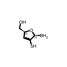 B[C@@H]1O[C@H](CO)C=C1S